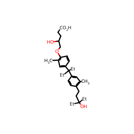 CCC(O)(CC)CCc1ccc(C(CC)(CC)c2ccc(OCC(O)CCC(=O)O)c(C)c2)cc1C